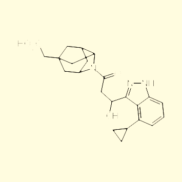 CC(CC(=O)N1C2CC3CC(CC(=O)O)(C2)CC31)c1n[nH]c2cccc(C3CC3)c12